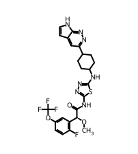 CO[C@H](C(=O)Nc1nnc(NC2CCC(c3cc4cc[nH]c4nn3)CC2)s1)c1cc(OC(F)(F)F)ccc1F